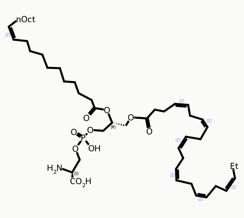 CC/C=C\C/C=C\C/C=C\C/C=C\C/C=C\C/C=C\CCC(=O)OC[C@H](COP(=O)(O)OC[C@H](N)C(=O)O)OC(=O)CCCCCCCCC/C=C\CCCCCCCC